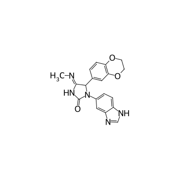 CN=C1NC(=O)N(c2ccc3[nH]cnc3c2)C1c1ccc2c(c1)OCCO2